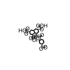 O=C(Nc1cc(S(=O)(=O)O)cc2cc(S(=O)(=O)O)cc(S(=O)(=O)O)c12)c1ccc([N+](=O)[O-])cc1